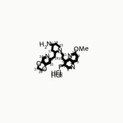 COc1ccc2ncc(F)c(CCN3CCC(N)CC3Cc3cc4c(cn3)OCCO4)c2n1.Cl.Cl